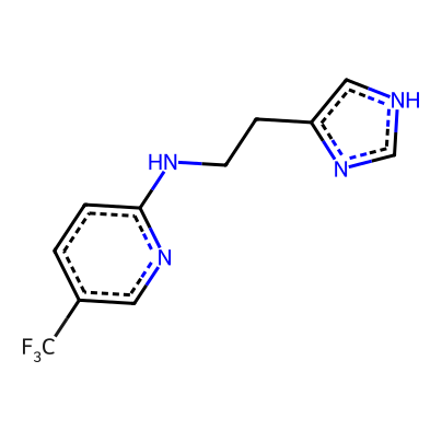 FC(F)(F)c1ccc(NCCc2c[nH]cn2)nc1